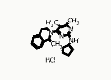 Cc1nc(NC2CCCC2)nc(N2CCc3ccccc3C2C)c1C.Cl